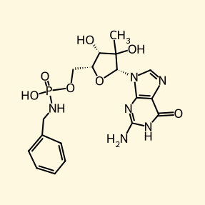 CC1(O)[C@@H](O)[C@@H](COP(=O)(O)NCc2ccccc2)O[C@H]1n1cnc2c(=O)[nH]c(N)nc21